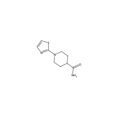 NC(=O)C1CCN(c2nccs2)CC1